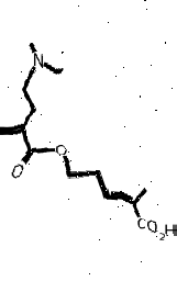 C=C(CCN(C)C)C(=O)OCCC=C(C)C(=O)O